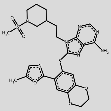 Cc1cnc(-c2cc3c(cc2Sc2nc4c(N)ncnc4n2CCC2CCCN(S(C)(=O)=O)C2)OCCO3)o1